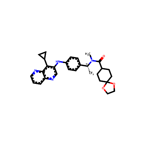 CN(C(=O)C1CCC2(CC1)OCCO2)[C@@H](c1ccc(Nc2cnc3cccnc3c2C2CC2)cc1)C(F)(F)F